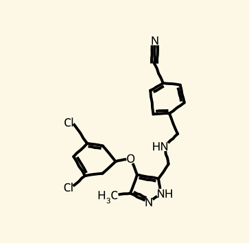 Cc1n[nH]c(CNCc2ccc(C#N)cc2)c1OC1C=C(Cl)C=C(Cl)C1